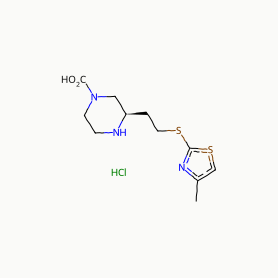 Cc1csc(SCC[C@@H]2CN(C(=O)O)CCN2)n1.Cl